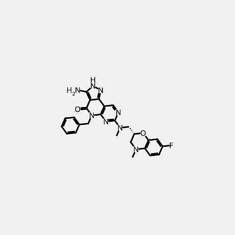 CN(C[C@H]1CN(C)c2ccc(F)cc2O1)c1ncc2c3n[nH]c(N)c3c(=O)n(Cc3ccccc3)c2n1